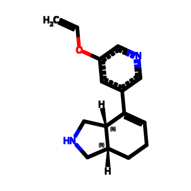 C=COc1cncc(C2=CCC[C@@H]3CNC[C@H]23)c1